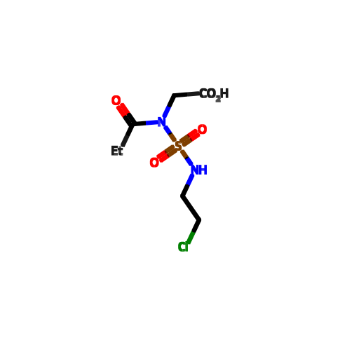 CCC(=O)N(CC(=O)O)S(=O)(=O)NCCCl